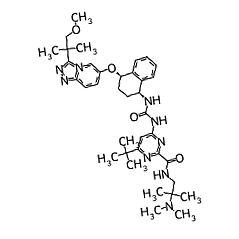 COCC(C)(C)c1nnc2ccc(O[C@@H]3CC[C@H](NC(=O)Nc4cc(C(C)(C)C)nc(C(=O)NCC(C)(C)N(C)C)n4)c4ccccc43)cn12